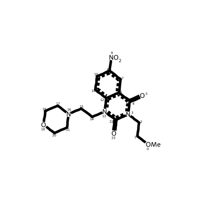 COCCn1c(=O)c2cc([N+](=O)[O-])ccc2n(CCN2CCOCC2)c1=O